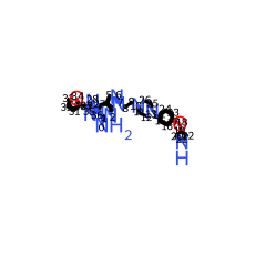 Nc1nc2c(cnn2CCN2CCN(c3ccc(OC4CNC4)cc3)CC2)c2nc(-c3ccco3)nn12